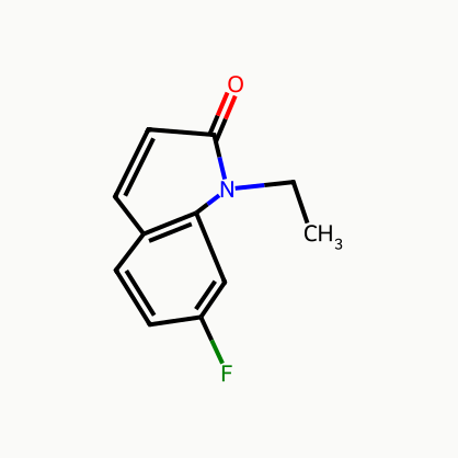 CCn1c(=O)ccc2ccc(F)cc21